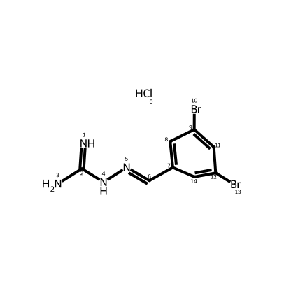 Cl.N=C(N)NN=Cc1cc(Br)cc(Br)c1